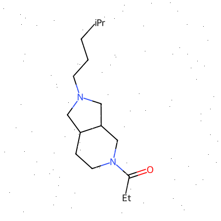 CCC(=O)N1CCC2CN(CCCC(C)C)CC2C1